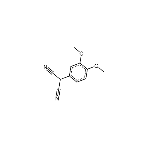 COc1ccc([C](C#N)C#N)cc1OC